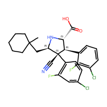 CC1(C[C@H]2N[C@H](C(=O)O)[C@@H](c3cccc(Cl)c3F)[C@]2(C#N)c2ccc(Cl)cc2F)CCCCC1